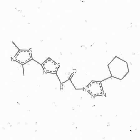 Cc1nc(C)c(-c2csc(NC(=O)Cn3cc(C4CCCCC4)nn3)n2)s1